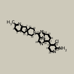 Cc1ccc2c(n1)CC1(CCN(c3nc4ccc(-c5ccnc(N)c5Cl)c5ncc3n45)CC1)C2